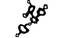 Clc1ccc(COc2ncc(-c3ccc(Cl)cc3)c(-c3ccc(Cl)cc3Cl)n2)cc1